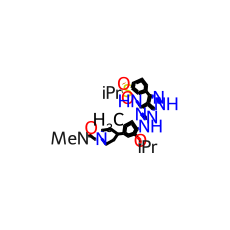 CNC(=O)CN1CCC(c2cc(OC(C)C)c(Nc3nc4c5c(n[nH]c5n3)-c3cccc(S(=O)(=O)C(C)C)c3N4)cc2C)CC1